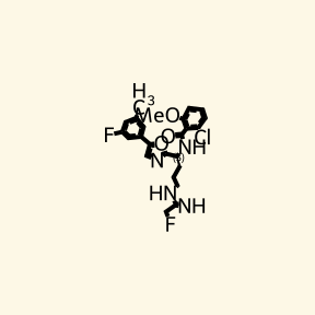 COc1cccc(Cl)c1C(=O)N[C@@H](CCCNC(=N)CF)c1ncc(-c2cc(C)cc(F)c2)o1